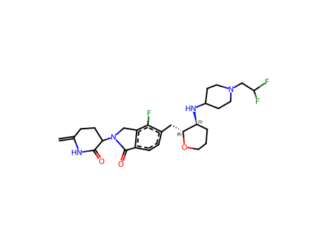 C=C1CCC(N2Cc3c(ccc(C[C@H]4OCCC[C@@H]4NC4CCN(CC(F)F)CC4)c3F)C2=O)C(=O)N1